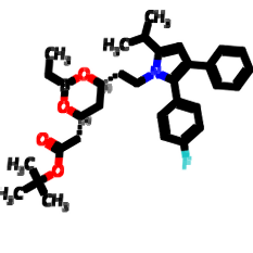 CCB1O[C@H](CCn2c(C(C)C)cc(-c3ccccc3)c2-c2ccc(F)cc2)C[C@H](CC(=O)OC(C)(C)C)O1